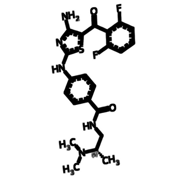 C[C@@H](CNC(=O)c1ccc(Nc2nc(N)c(C(=O)c3c(F)cccc3F)s2)cc1)N(C)C